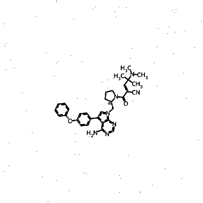 CN(C)C(C)(C)C=C(C#N)C(=O)N1CCC[C@@H]1Cn1cc(-c2ccc(Oc3ccccc3)cc2)c2c(N)ncnc21